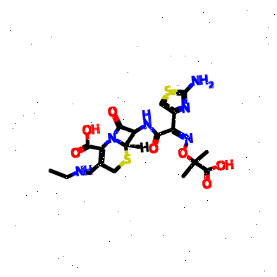 CCNCC1=C(C(=O)O)N2C(=O)C(NC(=O)/C(=N\OC(C)(C)C(=O)O)c3csc(N)n3)[C@@H]2SC1